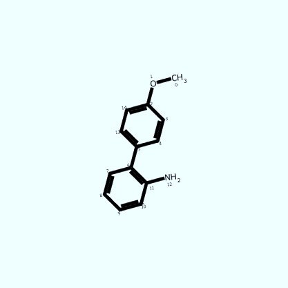 COc1ccc(-c2ccc[c]c2N)cc1